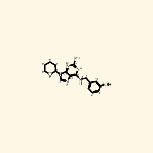 Oc1cccc(CNc2nc(F)nc3c2ncn3C2CCCCO2)c1